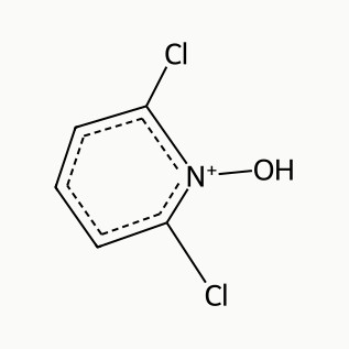 O[n+]1c(Cl)cccc1Cl